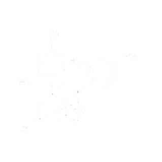 CCC12CC3(c4ccc(C)cc4O)CC(CC)(C1)C(C)C(c1ccc(C)cc1O)(C2)C3